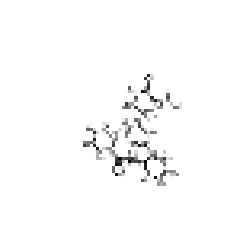 C=Cc1cc(-c2cc3c4ccccc4c(=O)n4c5ccccc5c(c2)c34)ccc1C